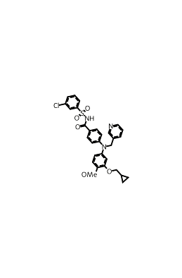 COc1ccc(N(Cc2cccnc2)c2ccc(C(=O)NS(=O)(=O)c3cccc(Cl)c3)cc2)cc1OCC1CC1